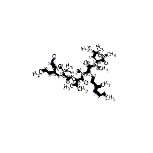 C=C/C=C\C(=C)CC[C@@H](C(=O)N(C)[C@@H](CC(C)C)C(=O)NC)N(C)C(=O)C(NC(=O)[C@H](CC(=C/C=C)/C=C/Cl)N(C)C)C(C)C